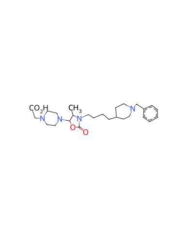 CC1C(N2CCN(CC(=O)O)CC2)OC(=O)N1CCCCC1CCN(Cc2ccccc2)CC1